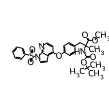 COC(=O)C(C)(Cc1ccc(Oc2ccnc3c2ccn3S(=O)(=O)c2ccccc2)cc1)NC(=O)OC(C)(C)C